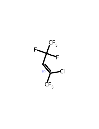 FC(F)(F)/C(Cl)=C/C(F)(F)C(F)(F)F